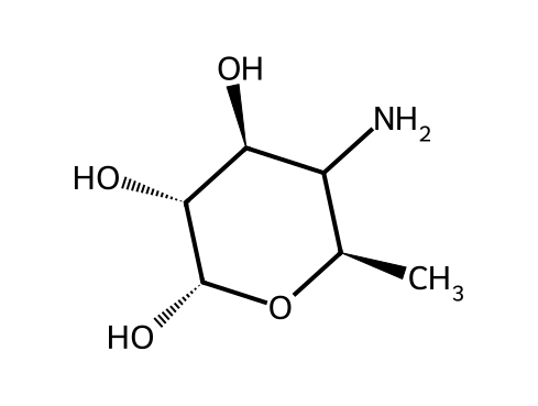 C[C@H]1O[C@H](O)[C@H](O)[C@@H](O)C1N